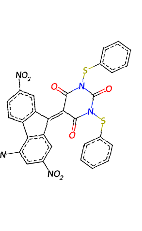 O=C1C(=C2c3cc([N+](=O)[O-])ccc3-c3c2cc([N+](=O)[O-])cc3[N+](=O)[O-])C(=O)N(Sc2ccccc2)C(=O)N1Sc1ccccc1